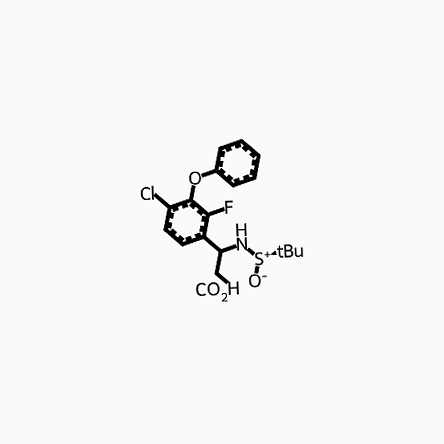 CC(C)(C)[S@@+]([O-])NC(CC(=O)O)c1ccc(Cl)c(Oc2ccccc2)c1F